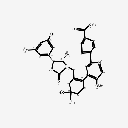 COC(=O)c1ccc(-c2cc(C3=C(CN4C(=O)O[C@H](c5cc(C)cc(C(F)(F)F)c5)[C@@H]4C)CC(C)(C)CC3)c(OC)cn2)cc1